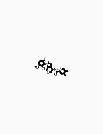 COc1ccc(F)c(-n2ncc3c2COC[C@H]3NC(=O)c2cc(C)c(C)cn2)c1Cl